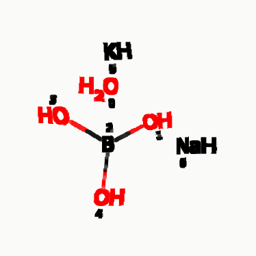 O.OB(O)O.[KH].[NaH]